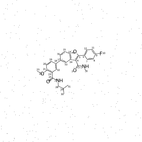 CNC(=O)c1c(-c2ccc(F)cc2)oc2ccc(-c3ccc(OC)c(C(=O)NCC(C)C)c3)cc12